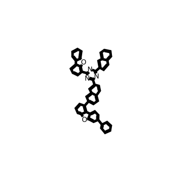 c1ccc(-c2ccc3c(c2)oc2cccc(-c4ccc5ccc(-c6nc(-c7ccc8ccccc8c7)nc(-c7cccc8c7oc7ccccc78)n6)cc5c4)c23)cc1